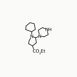 CCOC(=O)C1CCN(C2CCCCC2)C(N2CCNCC2)C1